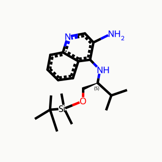 CC(C)[C@@H](CO[Si](C)(C)C(C)(C)C)Nc1c(N)cnc2ccccc12